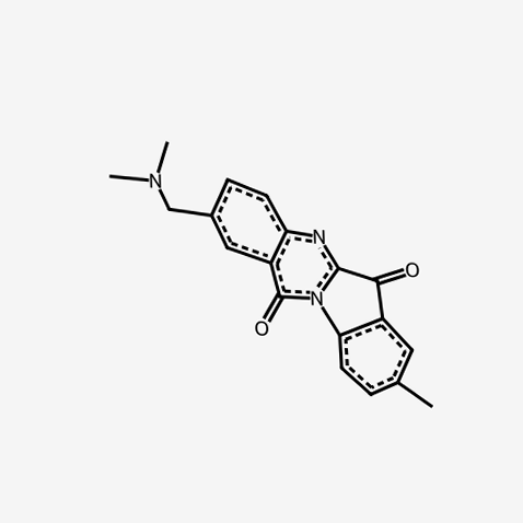 Cc1ccc2c(c1)C(=O)c1nc3ccc(CN(C)C)cc3c(=O)n1-2